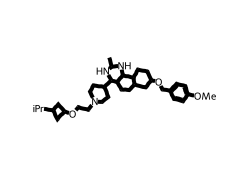 COc1ccc(COC2CCC3C(CCC4C(C5CCN(CCOC6CC(C(C)C)C6)CC5)NC(C)NC34)C2)cc1